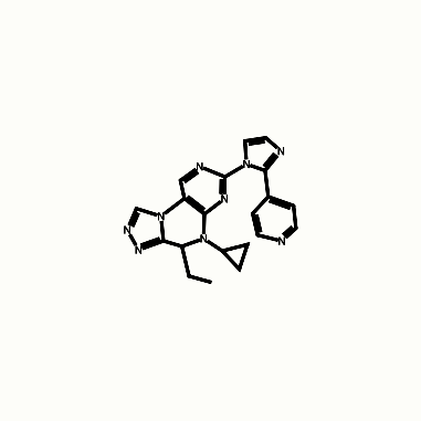 CCC1c2nncn2-c2cnc(-n3ccnc3-c3ccncc3)nc2N1C1CC1